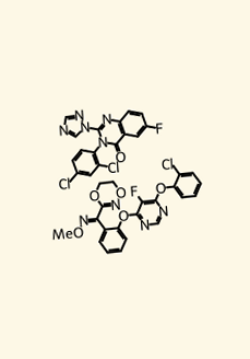 CO/N=C(/C1=NOCCO1)c1ccccc1Oc1ncnc(Oc2ccccc2Cl)c1F.O=c1c2cc(F)ccc2nc(-n2cncn2)n1-c1ccc(Cl)cc1Cl